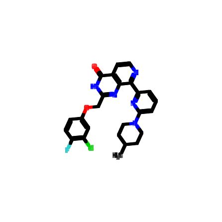 CC1CCN(c2cccc(-c3nccc4c(=O)[nH]c(COc5ccc(F)c(Cl)c5)nc34)n2)CC1